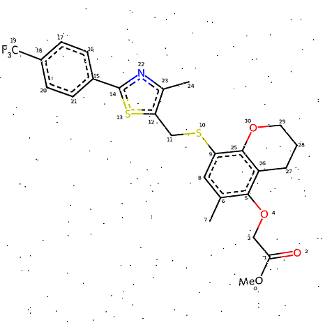 COC(=O)COc1c(C)cc(SCc2sc(-c3ccc(C(F)(F)F)cc3)nc2C)c2c1CCCO2